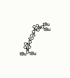 CC(C)(C)c1cc(-n2c3ccccc3c3c(N(c4ccccc4)c4ccc5c(c4)sc4c5ccc5c4ccc4c6ccc(N(c7ccccc7)c7cccc8c7c7ccccc7n8-c7cc(C(C)(C)C)cc(C(C)(C)C)c7)cc6sc45)cccc32)cc(C(C)(C)C)c1